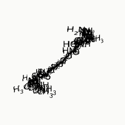 CC(C)C(CO)Nc1nc(N(C)c2ccc(C(=O)NCCOCCOCCOCCOCCOCCNC(=O)CCC(NC(=O)c3ccc(N(C)Cc4cnc5nc(N)nc(N)c5n4)cc3)C(=O)O)c(Cl)c2)c2ncn(C(C)C)c2n1